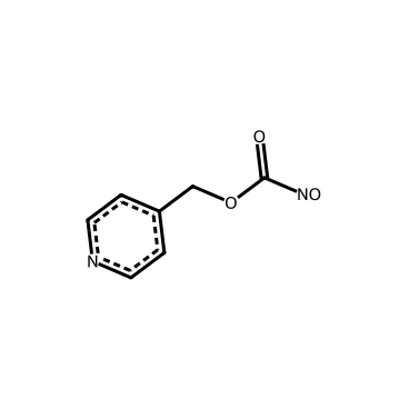 O=NC(=O)OCc1ccncc1